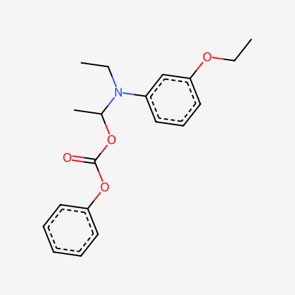 CCOc1cccc(N(CC)C(C)OC(=O)Oc2ccccc2)c1